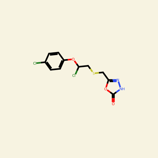 O=c1[nH]nc(CSCC(Cl)Oc2ccc(Cl)cc2)o1